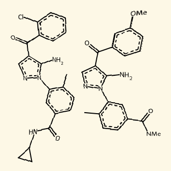 CNC(=O)c1ccc(C)c(-n2ncc(C(=O)c3cccc(OC)c3)c2N)c1.Cc1ccc(C(=O)NC2CC2)cc1-n1ncc(C(=O)c2ccccc2Cl)c1N